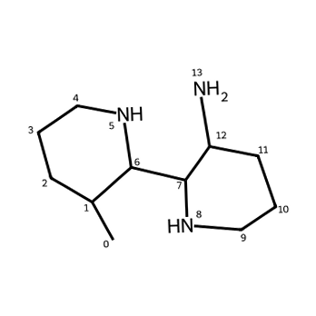 CC1CCCNC1C1NCCCC1N